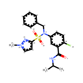 CC(C)NC(=O)c1cc(N(Cc2ccccc2)S(=O)(=O)c2ccn(C)n2)ccc1F